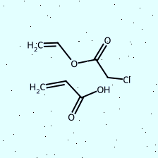 C=CC(=O)O.C=COC(=O)CCl